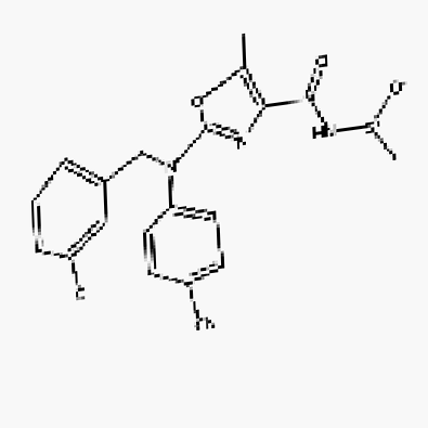 Cc1oc(N(Cc2cccc(Cl)c2)c2ccc(C#N)cc2)nc1C(=O)N[S+](C)[O-]